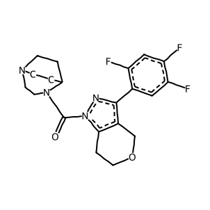 O=C(N1CCN2CCC1CC2)n1nc(-c2cc(F)c(F)cc2F)c2c1CCOC2